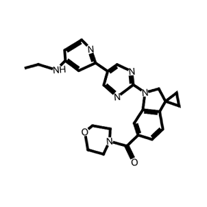 CCNc1ccnc(-c2cnc(N3CC4(CC4)c4ccc(C(=O)N5CCOCC5)cc43)nc2)c1